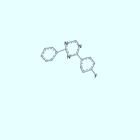 Fc1ccc(-c2ncnc(-c3ccccc3)n2)cc1